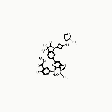 CNC(=O)c1cc(Nc2nc(-c3ccc4c(c3)N([C@H]3C[C@@H](N[C@@H]5CCOC[C@@H]5C)C3)C(=O)C4(C)C)cc3ncn(C(C)C)c23)ccc1C